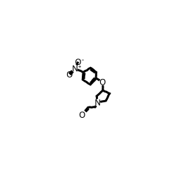 O=CCN1CCC(Oc2ccc([N+](=O)[O-])cc2)C1